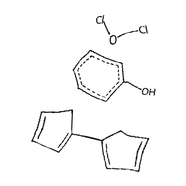 C1=CCC(C2=CC=CC2)=C1.ClOCl.Oc1ccccc1